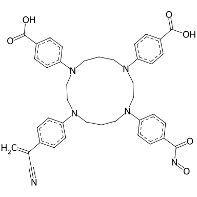 C=C(C#N)c1ccc(N2CCCN(c3ccc(C(=O)N=O)cc3)CCN(c3ccc(C(=O)O)cc3)CCCN(c3ccc(C(=O)O)cc3)CC2)cc1